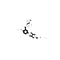 CC(C)NC(=O)CNC(=O)c1cc(N2CC3CN(C(=O)OC(C)(C)C)CC3C2)ccc1N